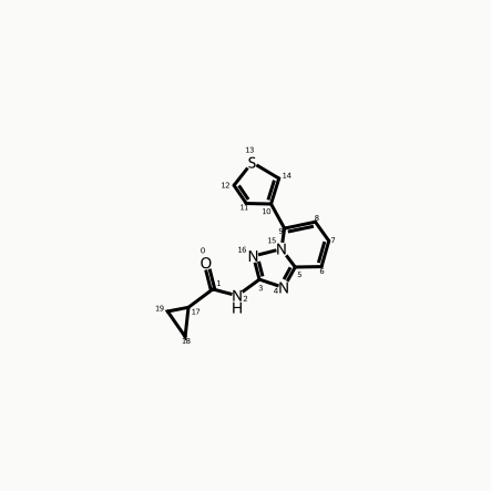 O=C(Nc1nc2cccc(-c3ccsc3)n2n1)C1CC1